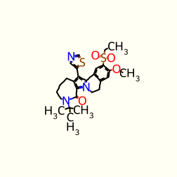 CCS(=O)(=O)c1cc2c(cc1OC)CCn1c3c(c(-c4cncs4)c1-2)CCCCN(C(C)(C)C)C3=O